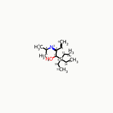 C=CC(=NC(C)C)C(O)[Si](CC)(CC)CC